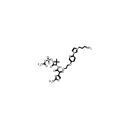 CC1(C)[C@H](NC(=O)/C(=N\OCCOc2ccc(-n3cc[n+](CCCN)c3)nc2)c2csc(N)n2)C(=O)N1OS(=O)(=O)OC(=O)C(F)(F)F